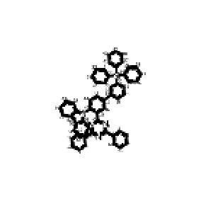 c1ccc(-c2nc(-c3ccccc3)nc(-c3cc(-c4cccc([Si](c5ccccc5)(c5ccccc5)c5ccccc5)c4)ccc3-n3c4ccccc4c4ccccc43)n2)cc1